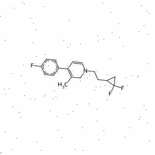 CC1=C(c2ccc(F)cc2)C=CN(CCC2CC2(F)F)C1